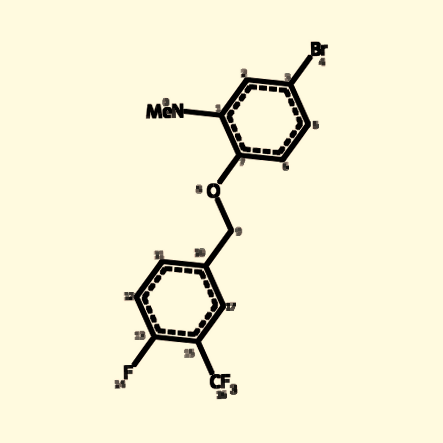 CNc1cc(Br)ccc1OCc1ccc(F)c(C(F)(F)F)c1